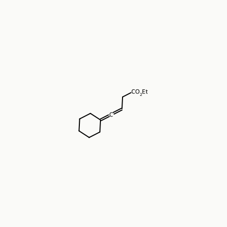 CCOC(=O)CC=C=C1CCCCC1